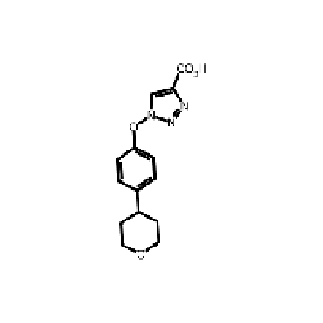 O=C(O)c1cn(Oc2ccc(C3CCOCC3)cc2)nn1